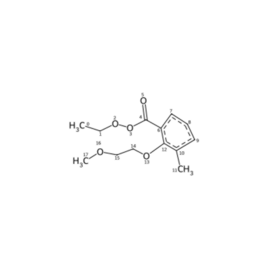 CCOOC(=O)c1cccc(C)c1OCCOC